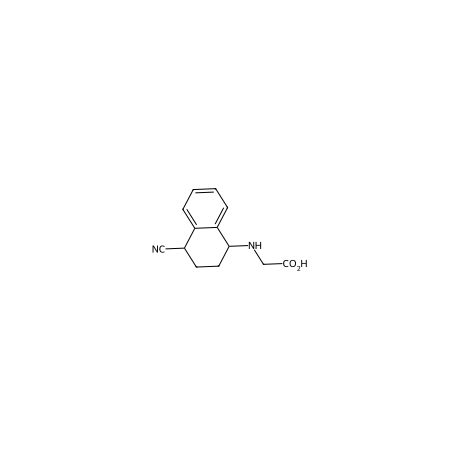 N#CC1CCC(NCC(=O)O)c2ccccc21